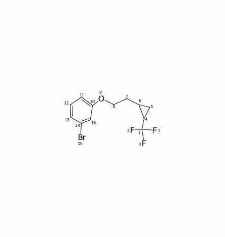 FC(F)(F)C1CC1CCOc1cccc(Br)c1